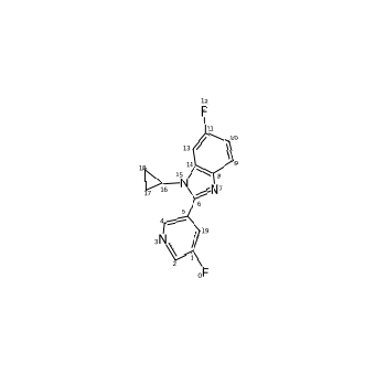 Fc1cncc(-c2nc3ccc(F)cc3n2C2CC2)c1